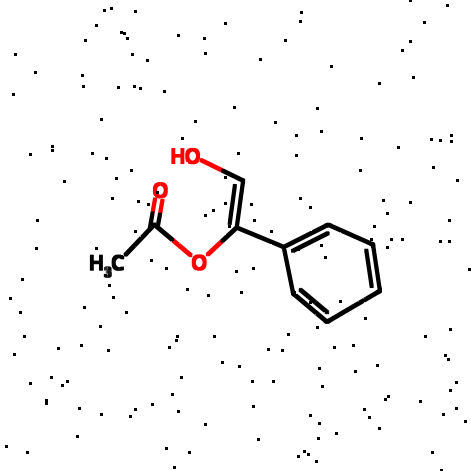 CC(=O)OC(=CO)c1ccccc1